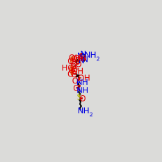 CC(C)(COP(=O)(O)OP(=O)(O)OC[C@H]1O[C@@H](n2cnc3c(N)ncnc32)[C@H](O)[C@@H]1OP(=O)(O)O)[C@@H](O)C(=O)NCCC(=O)NCCSC(=O)C=CCCCN